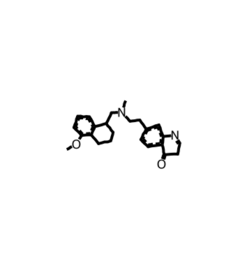 COc1cccc2c1CCCC2CN(C)CCc1ccc2c(c1)N=CCC2=O